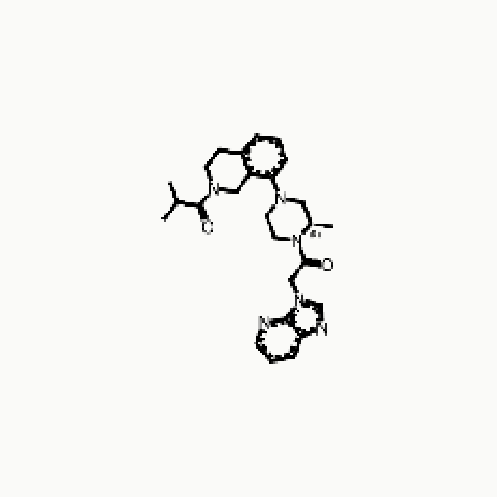 CC(C)C(=O)N1CCc2cccc(N3CCN(C(=O)Cn4cnc5cccnc54)[C@H](C)C3)c2C1